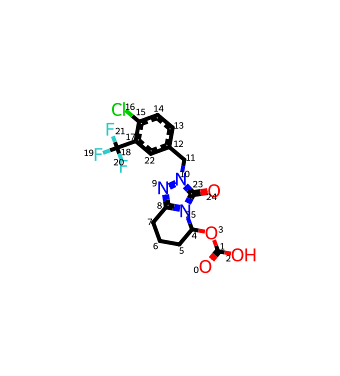 O=C(O)OC1CCCc2nn(Cc3ccc(Cl)c(C(F)(F)F)c3)c(=O)n21